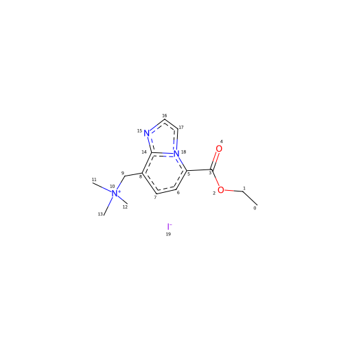 CCOC(=O)c1ccc(C[N+](C)(C)C)c2nccn12.[I-]